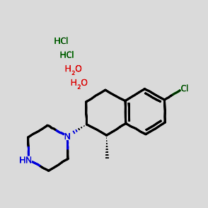 C[C@H]1c2ccc(Cl)cc2CC[C@H]1N1CCNCC1.Cl.Cl.O.O